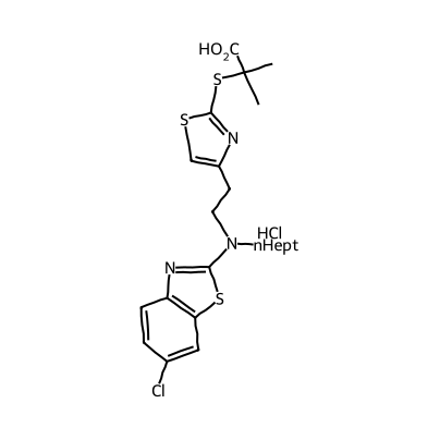 CCCCCCCN(CCc1csc(SC(C)(C)C(=O)O)n1)c1nc2ccc(Cl)cc2s1.Cl